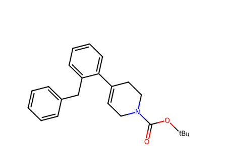 CC(C)(C)OC(=O)N1CC=C(c2ccccc2Cc2ccccc2)CC1